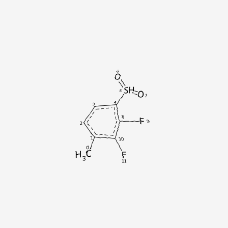 Cc1ccc([SH](=O)=O)c(F)c1F